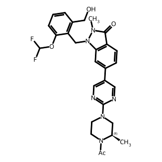 CC(=O)N1CCN(c2ncc(-c3ccc4c(=O)n(C)n(Cc5c(CO)cccc5OC(F)F)c4c3)cn2)C[C@H]1C